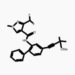 COC(C)(C)C#Cc1ccc(-c2ccccc2)c(NC(=O)c2cn(C)nc2C(F)F)c1